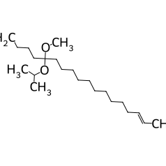 [CH2]CCCC(CCCCCCCCCCC=CC)(OC)OC(C)C